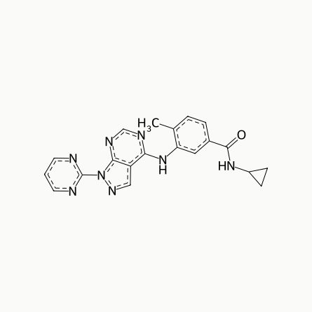 Cc1ccc(C(=O)NC2CC2)cc1Nc1ncnc2c1cnn2-c1ncccn1